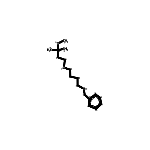 COC(C)(C)CCOCCCCOCc1ccccc1